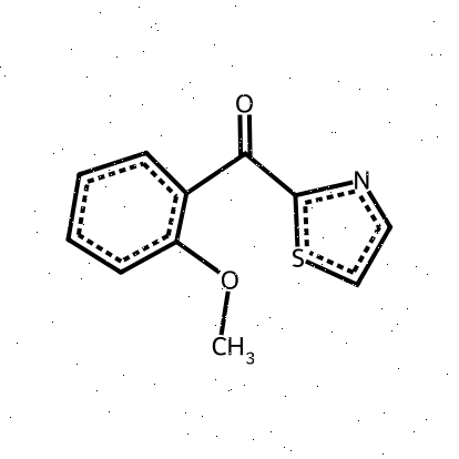 COc1ccccc1C(=O)c1nccs1